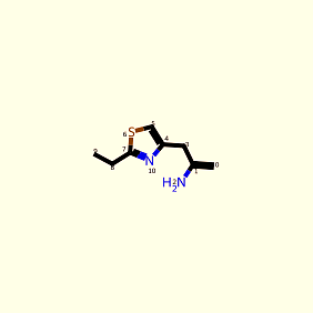 C=C(N)Cc1csc(CC)n1